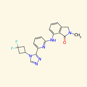 CN1Cc2cccc(Nc3cccc(-c4nncn4C4CC(F)(F)C4)n3)c2C1=O